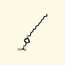 CCCCCCCCCCCCCCOc1ccc(COC(=O)O)cc1